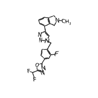 CN1Cc2cccc(-c3cn(Cc4ccc(-c5nnc(C(F)F)o5)cc4F)nn3)c2C1